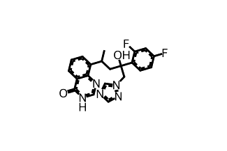 CC(CC(O)(Cn1cncn1)c1ccc(F)cc1F)c1cccc2c(=O)[nH]cnc12